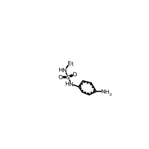 CCNS(=O)(=O)Nc1ccc(N)cc1